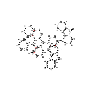 c1ccc(N(c2ccc(-c3cccc4oc5ccccc5c34)cc2)c2ccccc2-c2cccc3sc4ccccc4c23)c(-c2cccc3cccc(C4CCCCC4)c23)c1